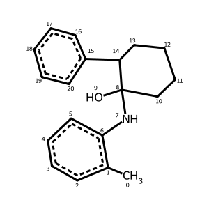 Cc1ccccc1NC1(O)CCCCC1c1ccccc1